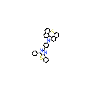 c1ccc(-c2nc(-c3ccc(-n4c5ccc6cccc7sc8cccc9ccc4c(c98)c5c67)cc3)nc3c2sc2ccccc23)cc1